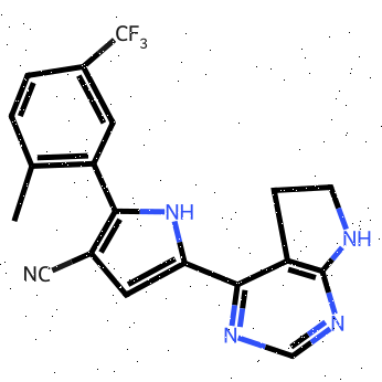 Cc1ccc(C(F)(F)F)cc1-c1[nH]c(-c2ncnc3c2CCN3)cc1C#N